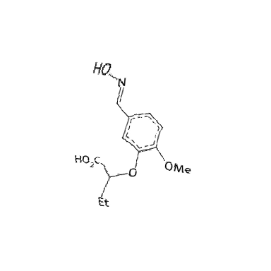 CCC(Oc1cc(C=NO)ccc1OC)C(=O)O